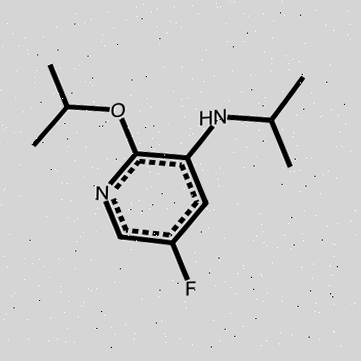 CC(C)Nc1cc(F)cnc1OC(C)C